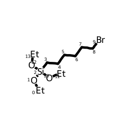 CCO[Si](CCCCCCBr)(OCC)OCC